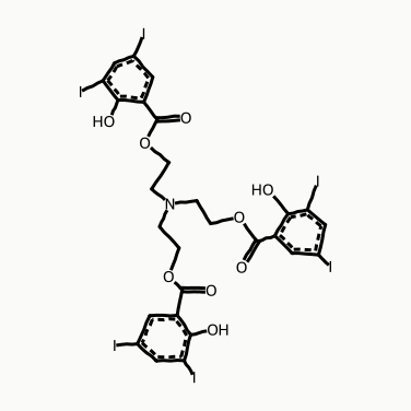 O=C(OCCN(CCOC(=O)c1cc(I)cc(I)c1O)CCOC(=O)c1cc(I)cc(I)c1O)c1cc(I)cc(I)c1O